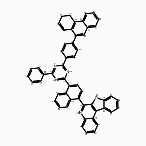 C1=Cc2c(-c3ccc(-c4nc(-c5ccccc5)nc(-c5ccc(-c6nc7ccccc7c7c6oc6ccccc67)c6ccccc56)n4)cc3)cc3ccccc3c2CC1